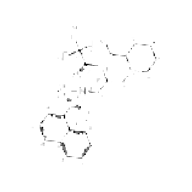 CCC1CCCCN1C[C@H](CNS(=O)(=O)c1cccc2ccccc12)OC(=O)C(F)(F)F